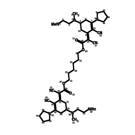 CNCCN(C)C1CC(N2CCCC2)=C(C#N)/C(=C(\C#N)C(=O)OCCCCCCOC(=O)/C(C#N)=C2\CC(N(C)CCNC)CC(N3CCCC3)=C2C#N)C1